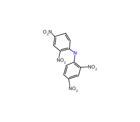 O=[N+]([O-])c1ccc([N]c2ccc([N+](=O)[O-])cc2[N+](=O)[O-])c([N+](=O)[O-])c1